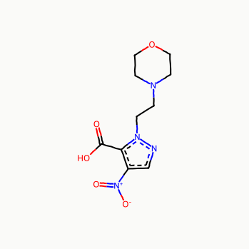 O=C(O)c1c([N+](=O)[O-])cnn1CCN1CCOCC1